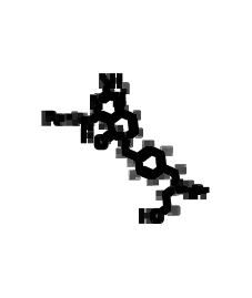 CCC[C@@H](C)Nc1nc(N)nc2ccn(Cc3ccc(CN(CCC)CCO)cc3)c(=O)c12